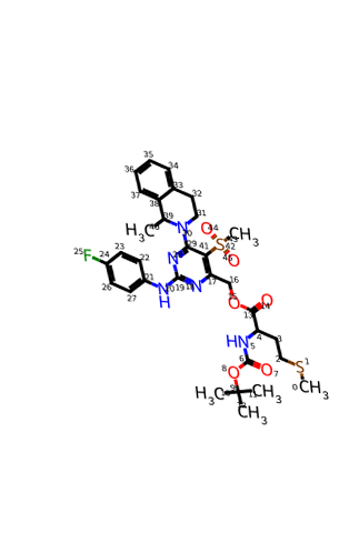 CSCCC(NC(=O)OC(C)(C)C)C(=O)OCc1nc(Nc2ccc(F)cc2)nc(N2CCc3ccccc3C2C)c1S(C)(=O)=O